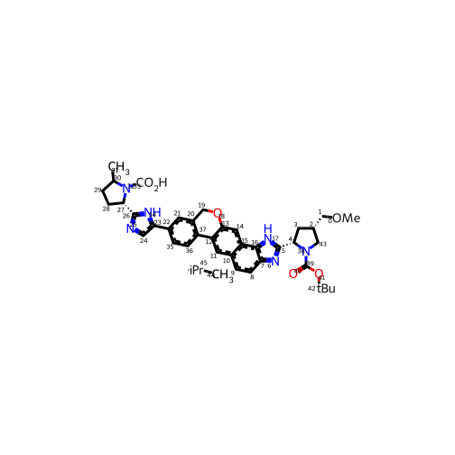 COC[C@H]1C[C@@H](c2nc3ccc4cc5c(cc4c3[nH]2)OCc2cc(-c3cnc([C@@H]4CCC(C)N4C(=O)O)[nH]3)ccc2-5)N(C(=O)OC(C)(C)C)C1.C[C](C)C